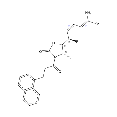 C[C@H]1[C@@H]([C@H](F)/C=C\C=C(/N)Br)OC(=O)N1C(=O)CCc1cccc2ccccc12